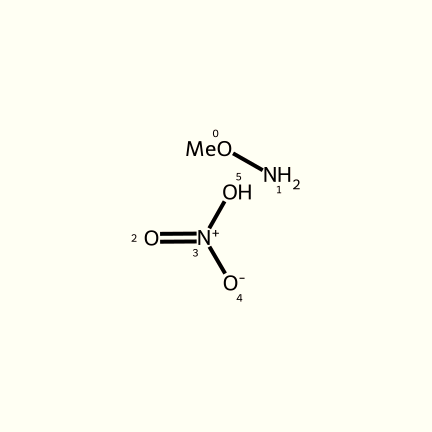 CON.O=[N+]([O-])O